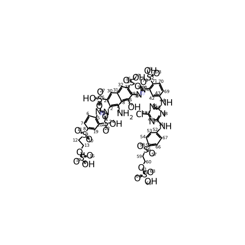 Nc1c(/N=N/c2ccc(S(=O)(=O)CCOS(=O)(=O)O)cc2S(=O)(=O)O)c(S(=O)(=O)O)cc2cc(S(=O)(=O)O)c(/N=N/c3cc(Nc4nc(Cl)nc(Nc5ccc(S(=O)(=O)CCOS(=O)(=O)O)cc5)n4)ccc3S(=O)(=O)O)c(O)c12